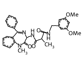 COc1cc(CNC(=O)C(C)C(=O)NC2N=C(c3ccccc3)c3ccccc3N(C)C2=O)cc(OC)c1